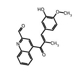 COc1ccc(C=C(C)C(=O)c2cc(C=O)nc3ccccc23)cc1O